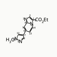 CCOC(=O)c1cnc2cc(-c3cnn(C)c3)ccn12